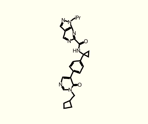 CC(C)n1ncc2cnc(C(=O)NC3(c4ccc(-c5cncn(CC6CCC6)c5=O)cc4)CC3)nc21